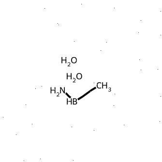 CBN.O.O